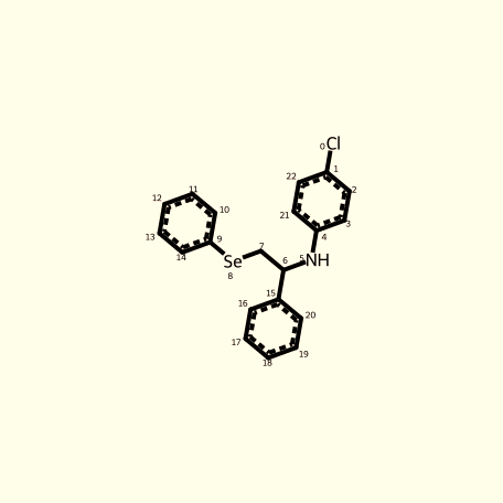 Clc1ccc(NC(C[Se]c2ccccc2)c2ccccc2)cc1